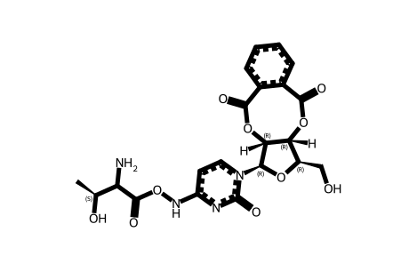 C[C@H](O)C(N)C(=O)ONc1ccn([C@@H]2O[C@H](CO)[C@H]3OC(=O)c4ccccc4C(=O)O[C@H]32)c(=O)n1